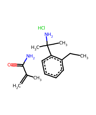 C=C(C)C(N)=O.CCc1ccccc1C(C)(C)N.Cl